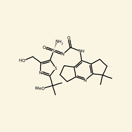 COC(C)(C)c1nc(CO)c([S@@](N)(=O)=NC(=O)Nc2c3c(nc4c2CCC4(C)C)CCC3)s1